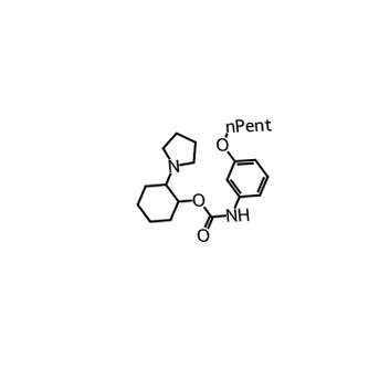 CCCCCOc1cccc(NC(=O)OC2CCCCC2N2CCCC2)c1